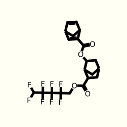 O=C(OC1CC2CC(C(=O)OCC(F)(F)C(F)(F)C(F)(F)C(F)F)C1C2)C1=CC2C=CC1C2